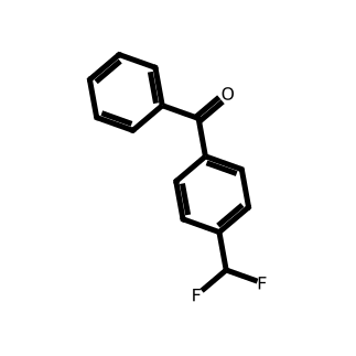 O=C(c1ccccc1)c1ccc(C(F)F)cc1